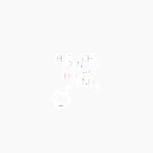 CON(C)C(=O)[C@](N)(O)CCc1ccccc1